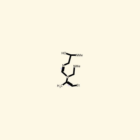 CC/C=C(/C)N(/C=N\CC(O)NC)CNC